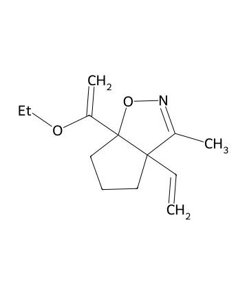 C=CC12CCCC1(C(=C)OCC)ON=C2C